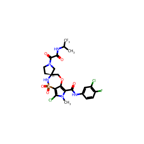 CC(NC(=O)C(=O)N1CC[C@]2(COc3c(c(Cl)n(C)c3C(=O)Nc3ccc(F)c(Cl)c3)S(=O)(=O)N2)C1)C(F)(F)F